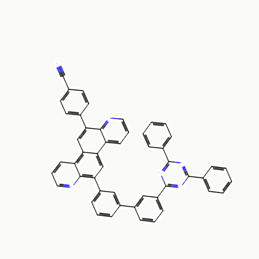 N#Cc1ccc(-c2cc3c4cccnc4c(-c4cccc(-c5cccc(-c6nc(-c7ccccc7)nc(-c7ccccc7)n6)c5)c4)cc3c3cccnc23)cc1